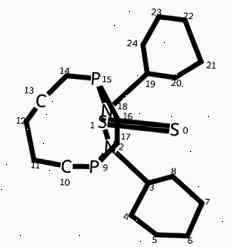 S=S1N(C2CCCCC2)P2CCCCCP(CC2)N1C1CCCCC1